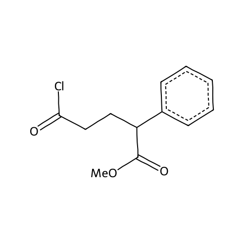 COC(=O)C(CCC(=O)Cl)c1ccccc1